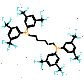 FC(F)(F)c1cc(P(CCCCCCP(c2cc(C(F)(F)F)cc(C(F)(F)F)c2)c2cc(C(F)(F)F)cc(C(F)(F)F)c2)c2cc(C(F)(F)F)cc(C(F)(F)F)c2)cc(C(F)(F)F)c1